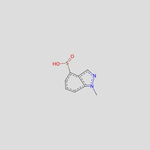 Cn1ncc2c(S(=O)O)cccc21